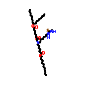 CCCCCCCCCCCOC(=O)CCCCCN(CCCCCCCC(=O)OC(CCCCCCCC)CCCCCCCC)CC(O)CCCCNC(=S)NC